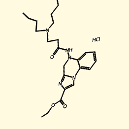 CCCCN(CCCC)CCC(=O)NN1Cc2nc(C(=O)OCC)cn2-c2ccccc21.Cl